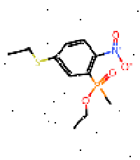 CCOP(C)(=O)c1cc(SCC)ccc1[N+](=O)[O-]